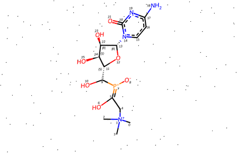 C[N+](C)(C)CC(O)=[P+]([O-])C(O)[C@H]1O[C@@H](n2ccc(N)nc2=O)[C@H](O)[C@@H]1O